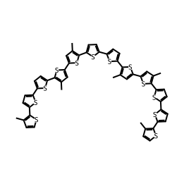 Cc1ccsc1-c1ccc(-c2ccc(-c3sc(-c4cc(C)c(-c5ccc(-c6ccc(-c7sc(-c8cc(C)c(-c9ccc(-c%10ccc(-c%11sccc%11C)s%10)s9)s8)cc7C)s6)s5)s4)cc3C)s2)s1